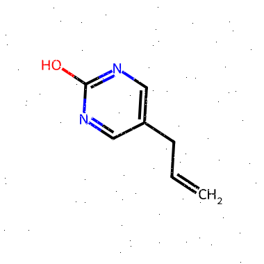 C=CCc1cnc(O)nc1